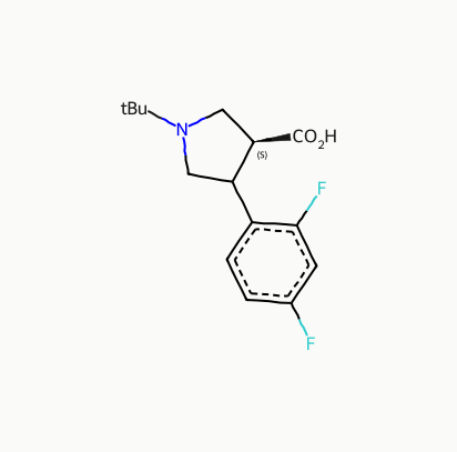 CC(C)(C)N1CC(c2ccc(F)cc2F)[C@H](C(=O)O)C1